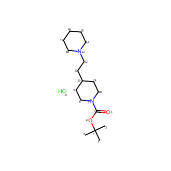 CC(C)(C)OC(=O)N1CCC(CCN2CCCCC2)CC1.Cl